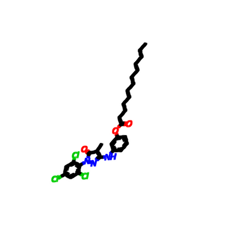 CCCCCCCCCCCCC(=O)Oc1cccc(NC2=NN(c3c(Cl)cc(Cl)cc3Cl)C(=O)C2C)c1